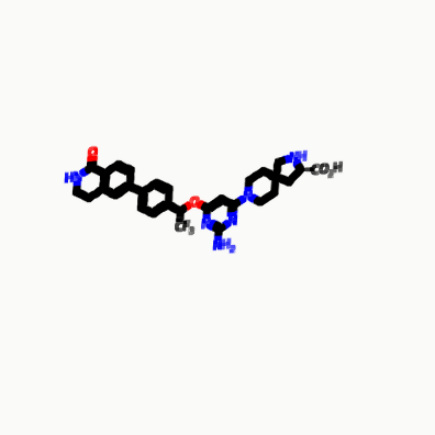 Nc1nc(OC(c2ccc(-c3ccc4c(c3)CCNC4=O)cc2)C(F)(F)F)cc(N2CCC3(CC2)CN[C@H](C(=O)O)C3)n1